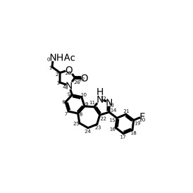 CC(=O)NCC1CN(c2ccc3c(c2)-c2[nH]nc(-c4cccc(F)c4)c2CCC3)C(=O)O1